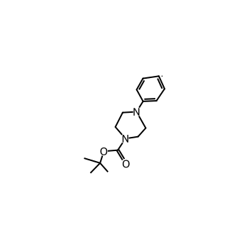 CC(C)(C)OC(=O)N1CCN(c2cc[c]cc2)CC1